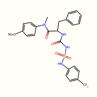 COc1ccc(N(C)C(=O)C(Cc2ccccc2)NC(=O)NS(=O)(=O)Nc2ccc(C(F)(F)F)cc2)cc1